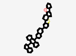 c1ccc2c(-c3c4ccccc4c(-c4ccc5cc(-c6ccc7sc8c(ccc9c8ccc8c%10ccccc%10oc89)c7c6)ccc5c4)c4ccccc34)cccc2c1